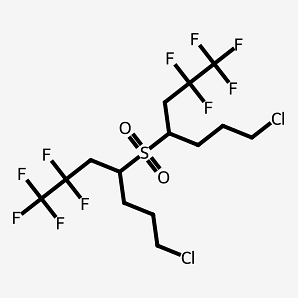 O=S(=O)(C(CCCCl)CC(F)(F)C(F)(F)F)C(CCCCl)CC(F)(F)C(F)(F)F